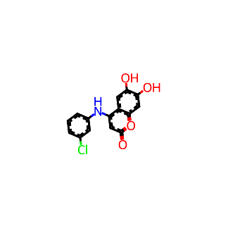 O=c1cc(Nc2cccc(Cl)c2)c2cc(O)c(O)cc2o1